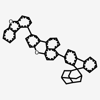 c1ccc2c(c1)-c1ccc(-c3ccc4c5c(cccc35)-c3cc(-c5cccc6oc7ccccc7c56)ccc3O4)cc1C21C2CC3CC(C2)CC1C3